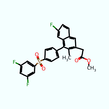 COC(=O)Cc1cc2ccc(F)cc2c(-c2ccc(S(=O)(=O)c3cc(F)cc(F)c3)cc2)c1C